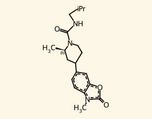 CC(C)CNC(=O)N1CCC(c2ccc3c(c2)oc(=O)n3C)C[C@H]1C